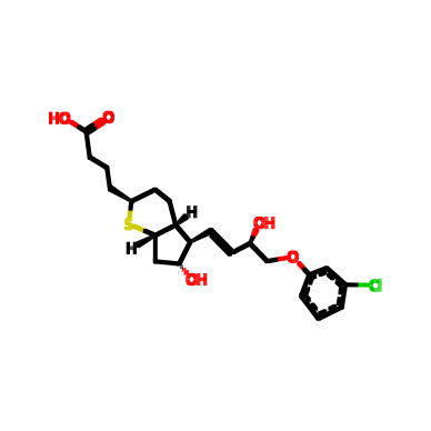 O=C(O)CCC[C@H]1CC[C@@H]2[C@@H](/C=C/[C@@H](O)COc3cccc(Cl)c3)[C@H](O)C[C@@H]2S1